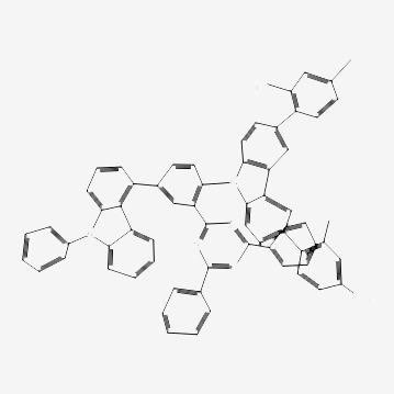 Cc1ccc(-c2ccc3c(c2)c2cc(-c4ccc(C(F)(F)F)cc4C)ccc2n3-c2ccc(-c3cccc4c3c3ccccc3n4-c3ccccc3)cc2-c2nc(-c3ccccc3)nc(-c3ccccc3)n2)c(C(F)(F)F)c1